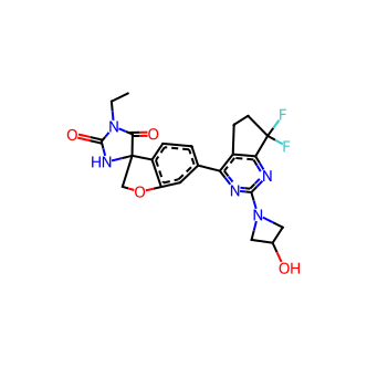 CCN1C(=O)NC2(COc3cc(-c4nc(N5CC(O)C5)nc5c4CCC5(F)F)ccc32)C1=O